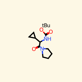 CC(C)(C)OC(=O)NC(C(=O)N1CCCC1)C1CC1